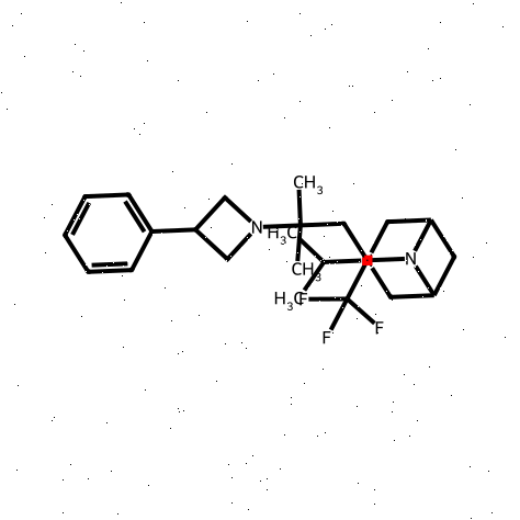 CC(C)N1CC2CC(C1)N2C(CC(C)(C)N1CC(c2ccccc2)C1)C(F)(F)F